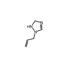 C=CCN1C=NCN1